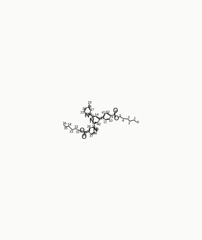 CCCCCCOC(=O)c1ccc(-c2cc(-c3cc(C)ccn3)nc(-c3cc(C(=O)OCCCCCC)ccn3)c2)cc1